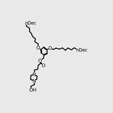 CCCCCCCCCCCCCCCCCCOc1cc(COC(=O)CCCN2CCN(CCO)CC2)cc(OCCCCCCCCCCCCCCCCCC)c1